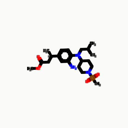 COC(=O)C[C@@H](C)c1ccc(N(CC(C)C)C2CCN(S(C)(=O)=O)CC2)c(N)c1